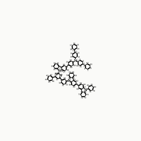 c1ccc(-c2ccc(N(c3ccc(-c4ccccc4)cc3)c3ccc(-c4ccc5c(c4)c4ccccc4n5-c4nc(-c5ccccc5)cc(-c5cccc(-n6c7ccccc7c7cc(-c8ccc9c(c8)c8ccccc8n9-c8ccccc8)ccc76)c5)n4)cc3)cc2)cc1